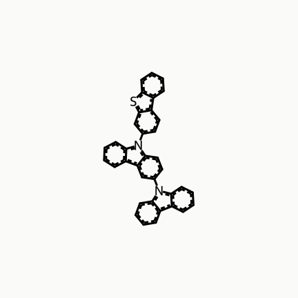 c1ccc2c(c1)sc1cc(-n3c4ccccc4c4cc(-n5c6ccccc6c6ccccc65)ccc43)ccc12